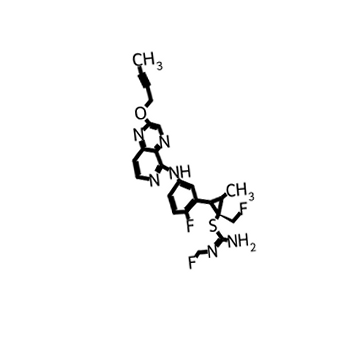 CC#CCOc1cnc2c(Nc3ccc(F)c(C4C(C)[C@]4(CF)S/C(N)=N\CF)c3)nccc2n1